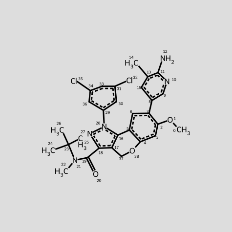 COc1cc2c(cc1-c1cnc(N)c(C)c1)-c1c(c(C(=O)N(C)C(C)(C)C)nn1-c1cc(Cl)cc(Cl)c1)CO2